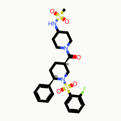 CS(=O)(=O)NC1CCN(C(=O)[C@@H]2CC[C@H](c3ccccc3)N(S(=O)(=O)c3ccccc3F)C2)CC1